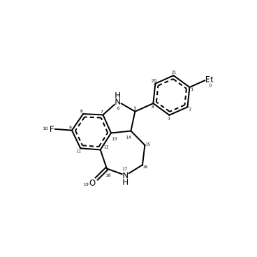 CCc1ccc(C2Nc3cc(F)cc4c3C2CCNC4=O)cc1